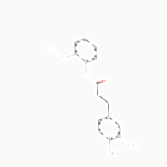 CCOc1ccccc1OC(=O)C=Cc1ccc(O)c(O)c1